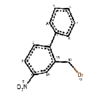 O=[N+]([O-])c1ccc(-c2ccccc2)c(CBr)c1